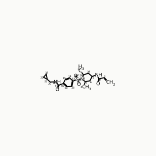 C=CC(=O)NC1CC(C)N(S(=O)(=O)c2ccc(C(=O)NCC3CC3)cc2)C(C)C1